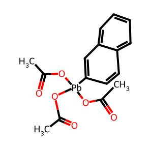 CC(=O)[O][Pb]([O]C(C)=O)([O]C(C)=O)[c]1ccc2ccccc2c1